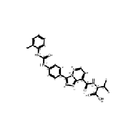 Cc1ccccc1NC(=O)Nc1ccc(-c2nnc3c(C(=O)N[C@H](C(=O)O)C(C)C)ccnn23)cc1